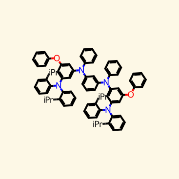 CC(C)c1ccccc1N(c1cc(Oc2ccccc2)cc(N(c2ccccc2)c2cccc(N(c3ccccc3)c3cc(Oc4ccccc4)cc(N(c4ccccc4C(C)C)c4ccccc4C(C)C)c3)c2)c1)c1ccccc1C(C)C